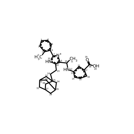 Cc1ccccc1-c1nc(C(C)Nc2cccc(C(=O)O)c2)c(CCC23CC4CC(CC(C4)C2)C3)[nH]1